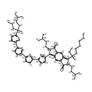 CCCCCCC(C)(CC)C1=c2cc3c(cc2C(=O)N1CCC(C)C)=C(c1ccc(-c2ccc(-c4ccc(-c5ccc(C(C)(CCC)CCC(C)C)s5)s4)s2)s1)N(CCC(C)C)C3=O